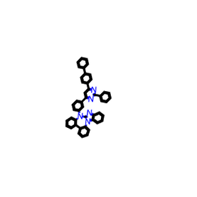 c1ccc(-c2ccc(-c3cc(-c4cccc(N5c6ccccc6-c6ccccc6-n6c5nc5ccccc56)c4)nc(-c4ccccc4)n3)cc2)cc1